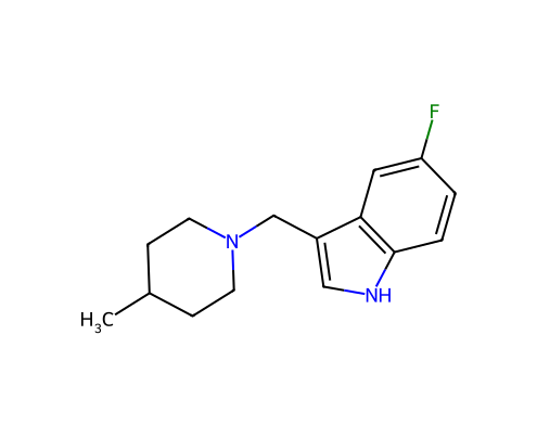 CC1CCN(Cc2c[nH]c3ccc(F)cc23)CC1